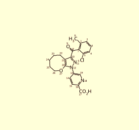 Cc1cccc(Cl)c1C(=O)c1nn(-c2ccc(C(=O)O)nc2)c2c1CCCCCO2